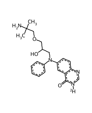 [2H]n1cnc2ccc(N(CC(O)COCC(C)(C)N)c3ccccc3)cc2c1=O